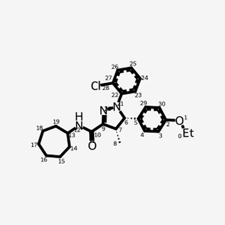 CCOc1ccc([C@@H]2[C@H](C)C(C(=O)NC3CCCCCC3)=NN2c2ccccc2Cl)cc1